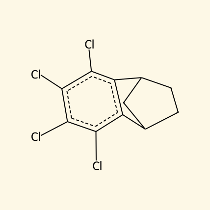 Clc1c(Cl)c(Cl)c2c(c1Cl)C1CCC2C1